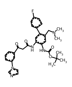 CN(C)Cc1cc(NC(=O)OC(C)(C)C)c(NC(=O)CC(=O)c2cccc(-n3ccnc3)c2)cc1-c1ccc(F)cc1